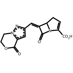 O=C(O)C1=CCC2C(=Cc3cc4n(n3)CCOC4=O)C(=O)N12